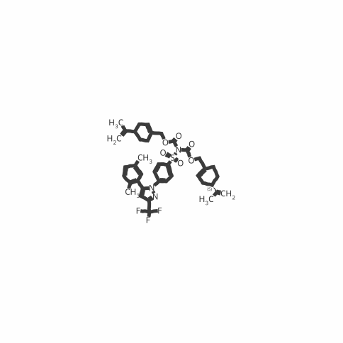 C=C(C)C1CC=C(COC(=O)N(C(=O)OCC2=CC[C@@H](C(=C)C)CC2)S(=O)(=O)c2ccc(-n3nc(C(F)(F)F)cc3-c3cc(C)ccc3C)cc2)CC1